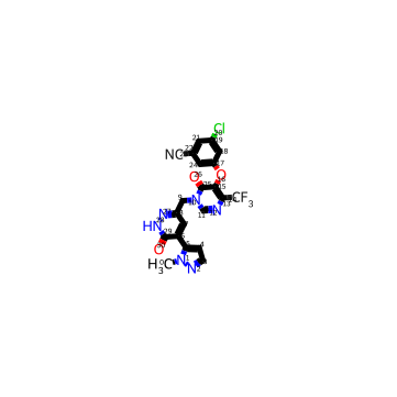 Cn1nccc1-c1cc(Cn2cnc(C(F)(F)F)c(Oc3cc(Cl)cc(C#N)c3)c2=O)n[nH]c1=O